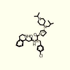 CC(C)CN(C1CCN(C(C)C)CC1)[C@@H]1CCN(C(=O)[C@@H](Cc2ccc(Cl)cc2)NC(=O)CC2NCCc3ccccc32)C1